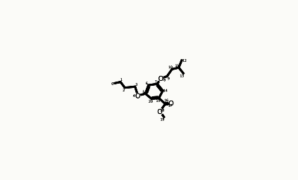 CCCCOc1cc(OCCC(C)C)cc(C(=O)OC)c1